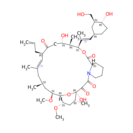 C=CC[C@@H]1/C=C(\C)C[C@H](C)C[C@H](OC)[C@H]2O[C@@](O)(C(=O)C(=O)N3CCCC[C@H]3C(=O)O[C@H](/C(C)=C/[C@@H]3CC[C@@H](O)[C@H](CO)C3)[C@H](C)[C@@H](O)CC1=O)[C@H](C)C[C@@H]2OC